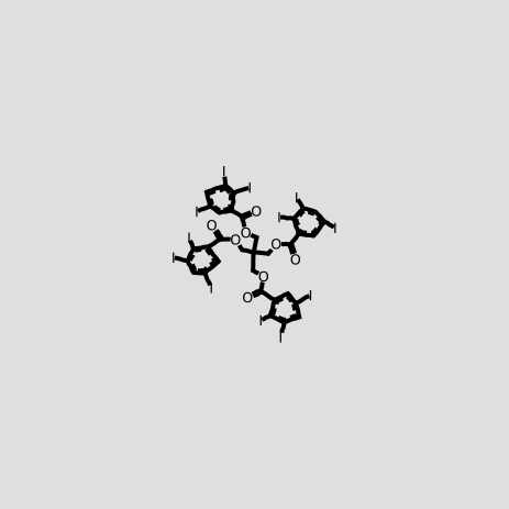 O=C(OCC(COC(=O)c1cc(I)cc(I)c1I)(COC(=O)c1cc(I)cc(I)c1I)COC(=O)c1cc(I)cc(I)c1I)c1cc(I)cc(I)c1I